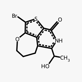 CC(O)c1[nH]c(=O)c2sc(Br)c3c2c1CCCO3